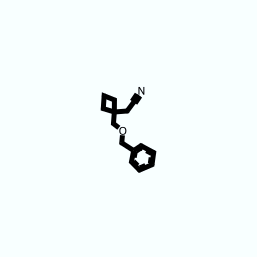 N#CCC1(COCc2ccccc2)CCC1